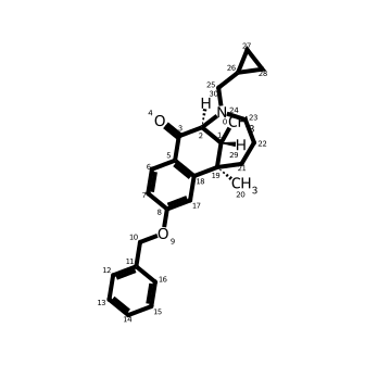 C[C@H]1[C@H]2C(=O)c3ccc(OCc4ccccc4)cc3[C@]1(C)CCCN2CC1CC1